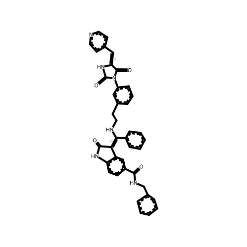 O=C1Nc2ccc(C(=O)NCc3ccccc3)cc2/C1=C(/NCCc1cccc(N2C(=O)N/C(=C\c3ccncc3)C2=O)c1)c1ccccc1